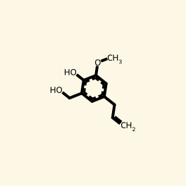 C=CCc1cc(CO)c(O)c(OC)c1